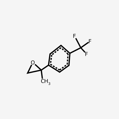 CC1(c2ccc(C(F)(F)F)cc2)CO1